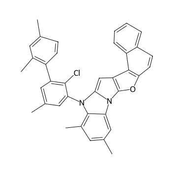 Cc1ccc(-c2cc(C)cc(-n3c4c(C)cc(C)cc4n4c5oc6ccc7ccccc7c6c5cc34)c2Cl)c(C)c1